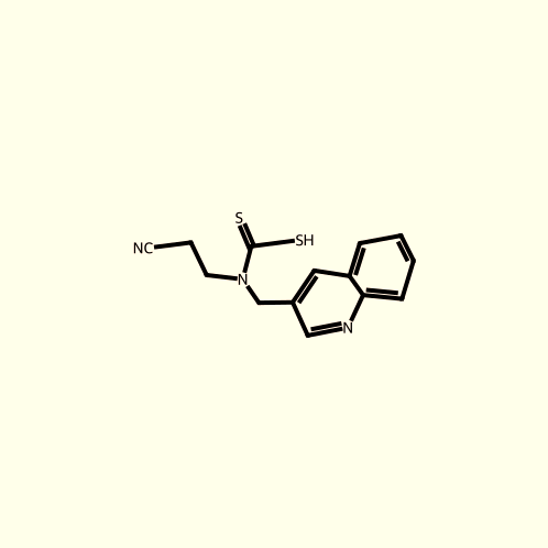 N#CCCN(Cc1cnc2ccccc2c1)C(=S)S